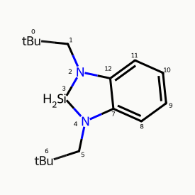 CC(C)(C)CN1[SiH2]N(CC(C)(C)C)c2ccccc21